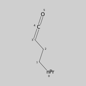 CCCCCC=C=O